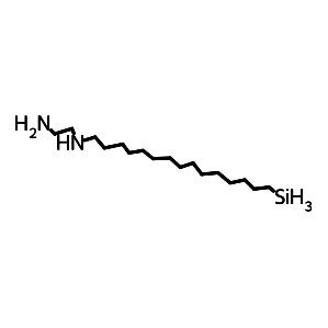 NCCNCCCCCCCCCCCCCCC[SiH3]